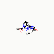 COC(=O)c1cnc([C@@H]2CCCN(C(=O)OC(C)(C)C)C2)[nH]1